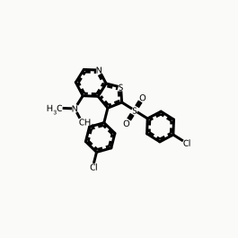 CN(C)c1ccnc2sc(S(=O)(=O)c3ccc(Cl)cc3)c(-c3ccc(Cl)cc3)c12